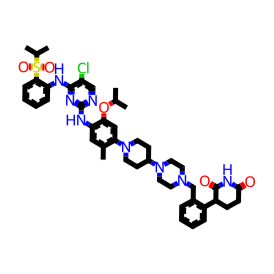 Cc1cc(Nc2ncc(Cl)c(Nc3ccccc3S(=O)(=O)C(C)C)n2)c(OC(C)C)cc1N1CCC(N2CCN(Cc3ccccc3C3CCC(=O)NC3=O)CC2)CC1